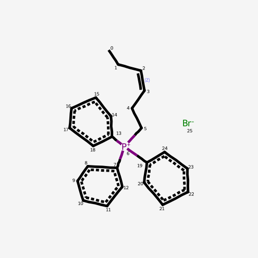 CC/C=C\CC[P+](c1ccccc1)(c1ccccc1)c1ccccc1.[Br-]